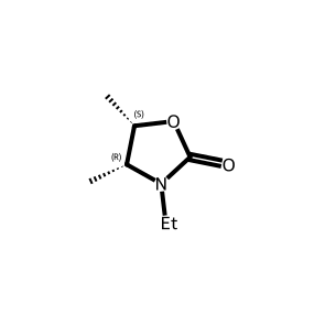 CCN1C(=O)O[C@@H](C)[C@H]1C